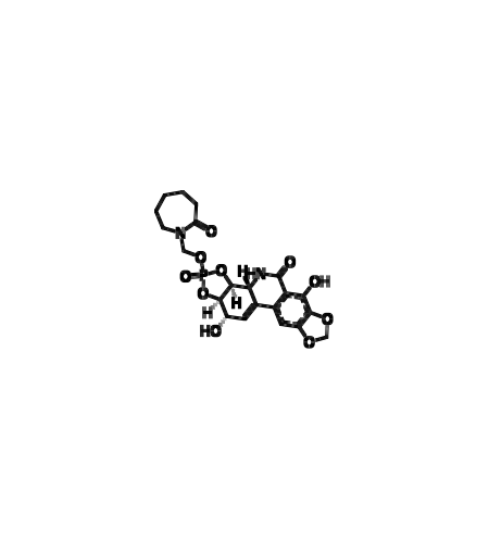 O=C1N[C@@H]2C(=C[C@H](O)[C@H]3OP(=O)(OCN4CCCCCC4=O)O[C@H]32)c2cc3c(c(O)c21)OCO3